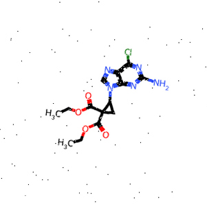 CCOC(=O)C1(C(=O)OCC)CC1n1cnc2c(Cl)nc(N)nc21